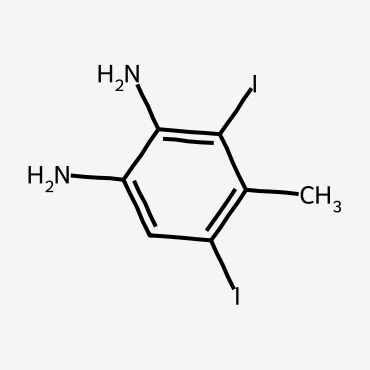 Cc1c(I)cc(N)c(N)c1I